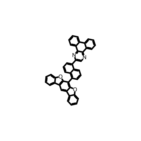 c1ccc2c(c1)oc1c(-c3cccc4c(-c5cnc6c7ccccc7c7ccccc7c6n5)cccc34)c3oc4ccccc4c3cc12